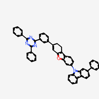 C1=C(c2cccc(-c3nc(-c4ccccc4)nc(-c4ccccc4)n3)c2)CCc2c1oc1cc(-n3c4ccccc4c4ccc(-c5ccccc5)cc43)ccc21